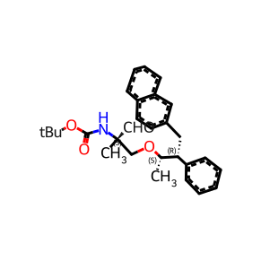 C[C@H](OC[C@@](C)(C=O)NC(=O)OC(C)(C)C)[C@H](Cc1ccc2ccccc2c1)c1ccccc1